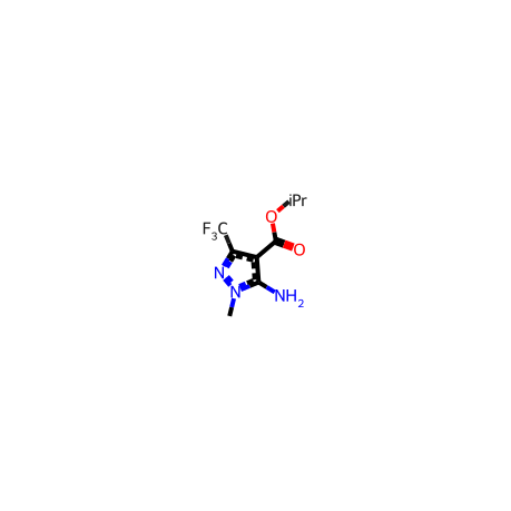 CC(C)OC(=O)c1c(C(F)(F)F)nn(C)c1N